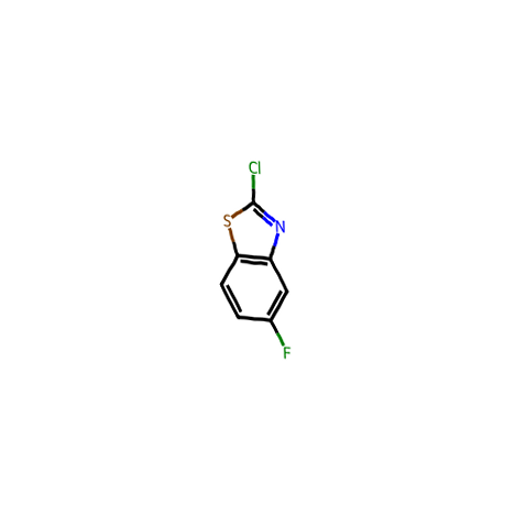 Fc1ccc2sc(Cl)nc2c1